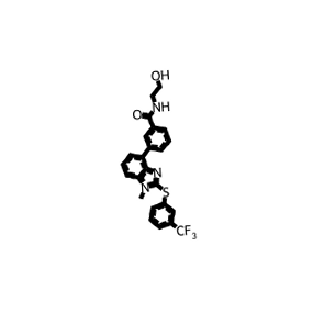 Cn1c(Sc2cccc(C(F)(F)F)c2)nc2c(-c3cccc(C(=O)NCCO)c3)cccc21